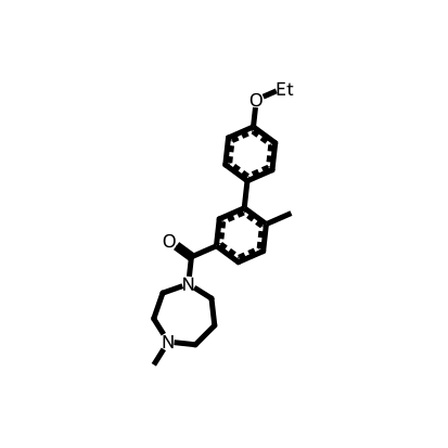 CCOc1ccc(-c2cc(C(=O)N3CCCN(C)CC3)ccc2C)cc1